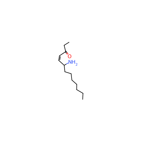 CCCCCCCC(N)/C=C\C(=O)CC